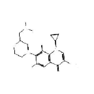 CCN(CC)CC1CN(c2c(F)cc3c(=O)c(C(=O)O)cn(C4CC4)c3c2F)CCO1